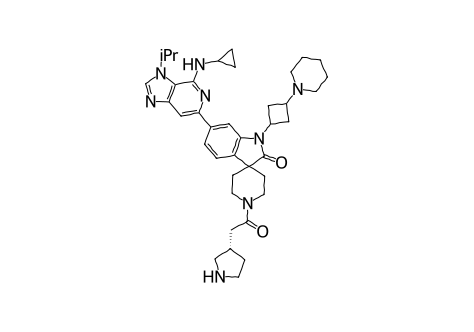 CC(C)n1cnc2cc(-c3ccc4c(c3)N(C3CC(N5CCCCC5)C3)C(=O)C43CCN(C(=O)C[C@@H]4CCNC4)CC3)nc(NC3CC3)c21